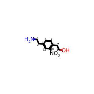 NCCc1ccc(CCO)c([N+](=O)[O-])c1